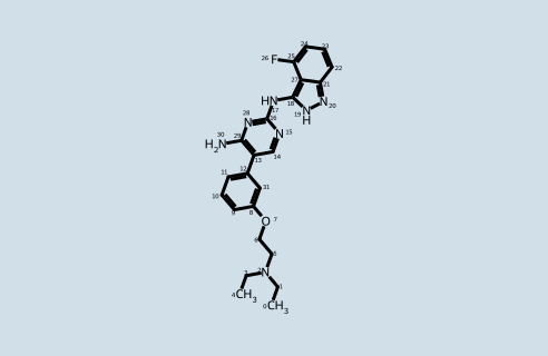 CCN(CC)CCOc1cccc(-c2cnc(Nc3[nH]nc4cccc(F)c34)nc2N)c1